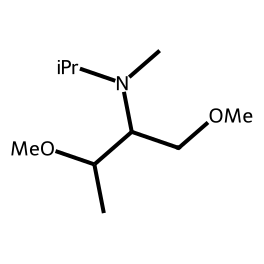 COCC(C(C)OC)N(C)C(C)C